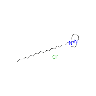 CCCCCCCCCCCCCCCCCCCC[N+]1=C2CCCCCN2CCC1.[Cl-]